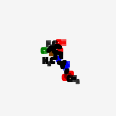 C[C@H]1C[C@@]2(CCN1Cc1cnn(CCS(C)(=O)=O)c1)OCC(O)(C(F)(F)F)c1cc(Cl)sc12